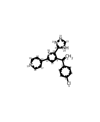 C=C(c1ccc(Cl)cc1)c1cc(-c2ccncc2)sc1-c1nnc[nH]1